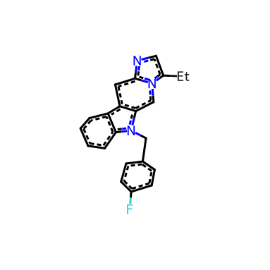 CCc1cnc2cc3c4ccccc4n(Cc4ccc(F)cc4)c3cn12